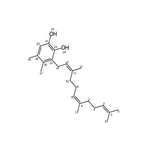 CC(C)=CCCC(C)=CCCC(C)=CCc1c(C)c(C)cc(O)c1O